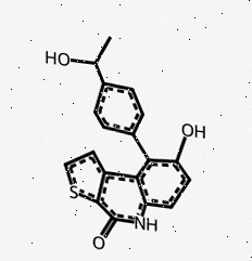 CC(O)c1ccc(-c2c(O)ccc3[nH]c(=O)c4sccc4c23)cc1